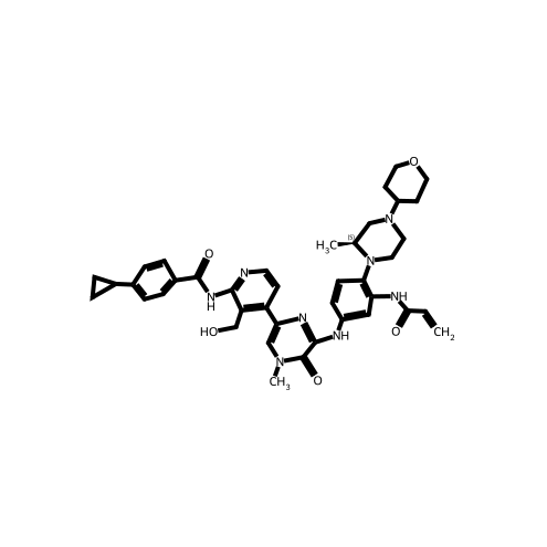 C=CC(=O)Nc1cc(Nc2nc(-c3ccnc(NC(=O)c4ccc(C5CC5)cc4)c3CO)cn(C)c2=O)ccc1N1CCN(C2CCOCC2)C[C@@H]1C